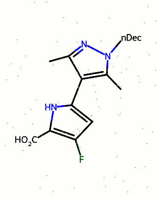 CCCCCCCCCCn1nc(C)c(-c2cc(F)c(C(=O)O)[nH]2)c1C